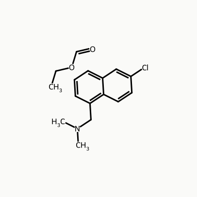 CCOC=O.CN(C)Cc1cccc2cc(Cl)ccc12